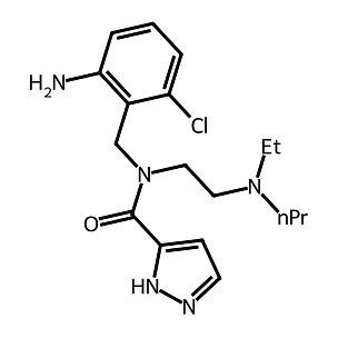 CCCN(CC)CCN(Cc1c(N)cccc1Cl)C(=O)c1ccn[nH]1